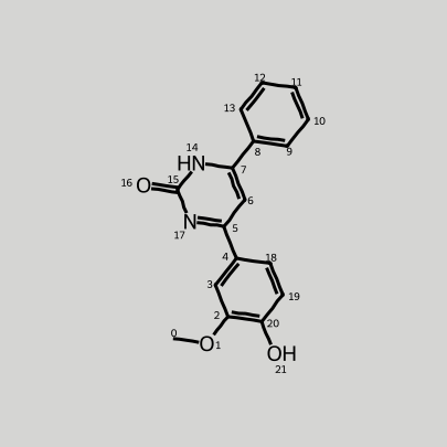 COc1cc(-c2cc(-c3ccccc3)[nH]c(=O)n2)ccc1O